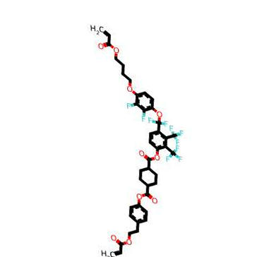 C=CC(=O)OCCCCOc1ccc(OC(F)(F)c2ccc(OC(=O)C3CCC(C(=O)Oc4ccc(CCOC(=O)C=C)cc4)CC3)c(C(F)(F)F)c2C(F)(F)F)c(F)c1F